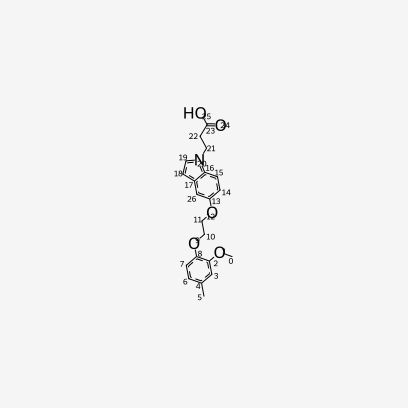 COc1cc(C)ccc1OCCOc1ccc2c(ccn2CCC(=O)O)c1